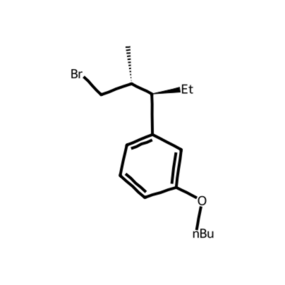 CCCCOc1cccc([C@H](CC)[C@@H](C)CBr)c1